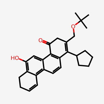 CC(C)(C)OCC1=C(C2CCCC2)c2ccc3c4c(c(O)cc3c2C(=O)C1)CCC=C4